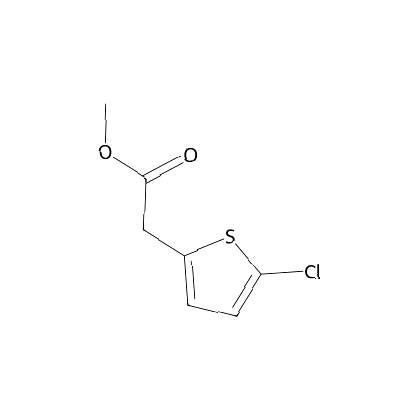 COC(=O)Cc1ccc(Cl)s1